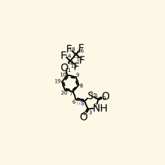 O=C1NC(=O)/C(=C/c2ccc(OC(F)(F)C(F)(F)F)cc2)S1